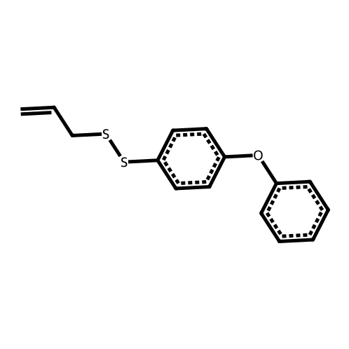 C=CCSSc1ccc(Oc2ccccc2)cc1